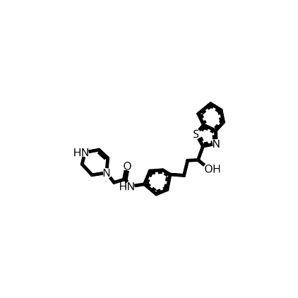 O=C(CN1C=CNCC1)Nc1ccc(CCC(O)c2nc3ccccc3s2)cc1